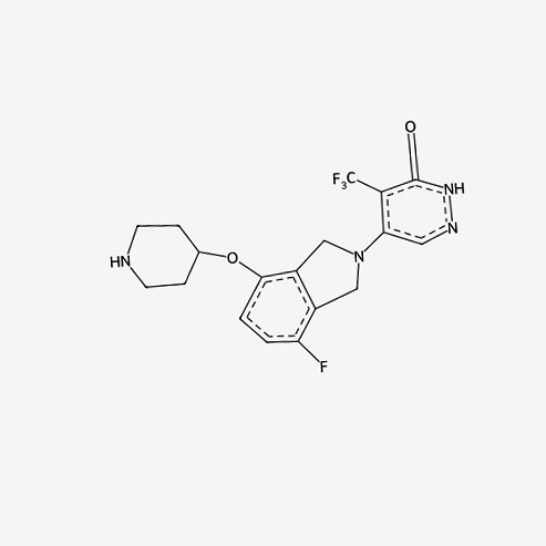 O=c1[nH]ncc(N2Cc3c(F)ccc(OC4CCNCC4)c3C2)c1C(F)(F)F